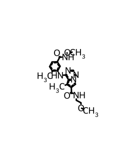 COCCNC(=O)c1cn2ncnc(Nc3cc(C(=O)NOC)ccc3C)c2c1C